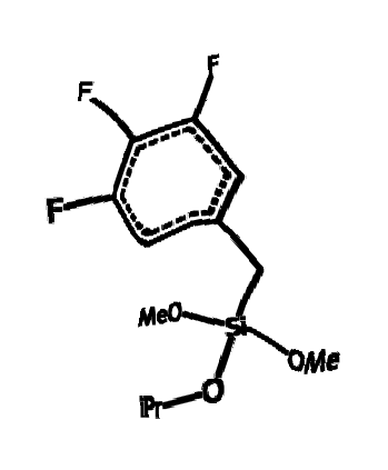 CO[Si](Cc1cc(F)c(F)c(F)c1)(OC)OC(C)C